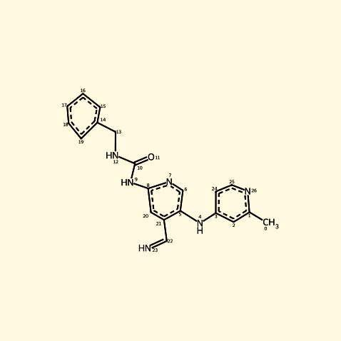 Cc1cc(Nc2cnc(NC(=O)NCc3ccccc3)cc2C=N)ccn1